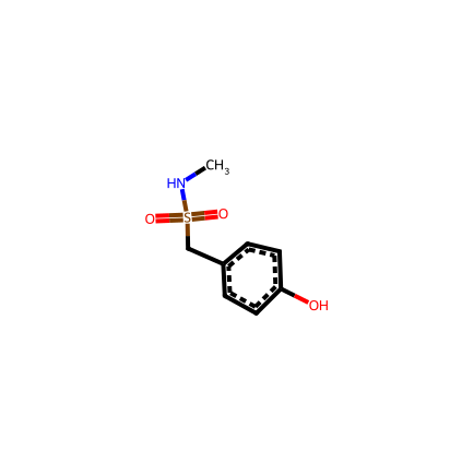 CNS(=O)(=O)Cc1ccc(O)cc1